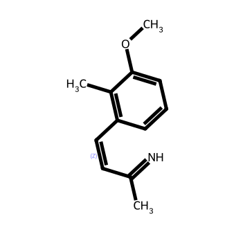 COc1cccc(/C=C\C(C)=N)c1C